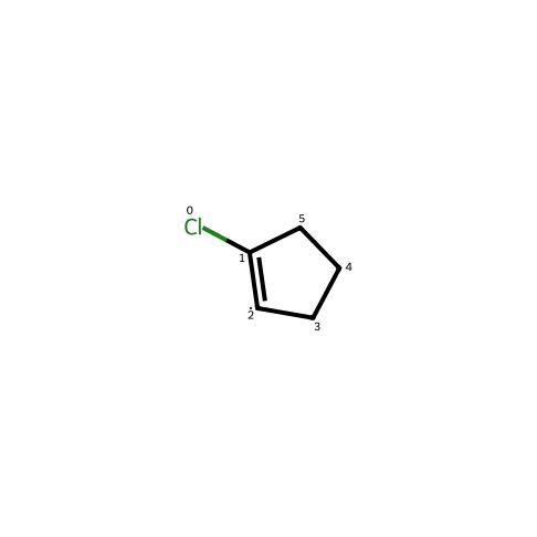 ClC1=[C]CCC1